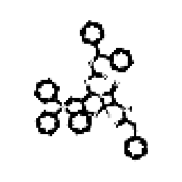 O=C(Cc1ccccc1)NC1C(=O)N2C(OC(=O)OC(c3ccccc3)c3ccccc3)=C(C=P(c3ccccc3)(c3ccccc3)c3ccccc3)CS[C@@H]12